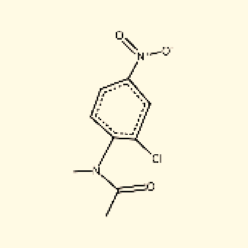 CC(=O)N(C)c1ccc([N+](=O)[O-])cc1Cl